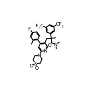 Cc1cc(F)ccc1-c1cc(N2CCS(=O)(=O)CC2)ncc1CC(C)(C(=O)N(C)C)c1cc(C(F)(F)F)cc(C(F)(F)F)c1